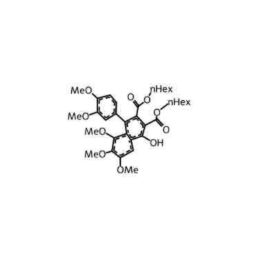 CCCCCCOC(=O)c1c(C(=O)OCCCCCC)c(-c2ccc(OC)c(OC)c2)c2c(OC)c(OC)c(OC)cc2c1O